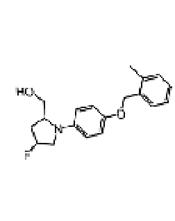 Cc1ccccc1COc1ccc(N2C[C@@H](F)C[C@H]2CO)cc1